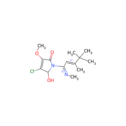 C/N=C(\C=C(/C)C(C)(C)C)N1C(=O)C(OC)=C(Cl)C1O